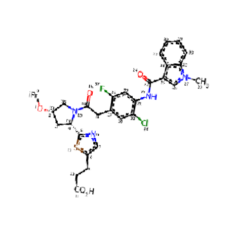 CC(C)O[C@H]1C[C@@H](c2ncc(CCC(=O)O)s2)N(C(=O)Cc2cc(Cl)c(NC(=O)c3cn(C)c4ccccc34)cc2F)C1